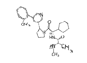 CNC(C)C(=O)N[C@H](C(=O)N1CCCC1c1cncc(-c2ccccc2C)c1)C1CCCCC1